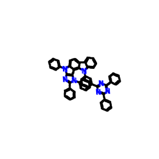 c1ccc(-c2nc(-c3ccccc3)nc(-c3cccc(-n4c5ccccc5c5ccc6c(c7c(nc(-c8ccccc8)n7-c7ccccc7)n6-c6ccccc6)c54)c3)n2)cc1